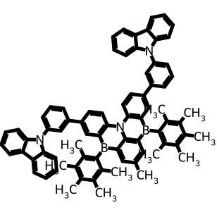 Cc1cc2c3c(c1)B(c1c(C)c(C)c(C)c(C)c1C)c1cc(-c4cccc(-n5c6ccccc6c6ccccc65)c4)ccc1N3c1ccc(-c3cccc(-n4c5ccccc5c5ccccc54)c3)cc1B2c1c(C)c(C)c(C)c(C)c1C